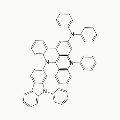 c1ccc(N(c2ccccc2)c2cc(-c3ccccc3N(c3ccccc3)c3ccc4c5ccccc5n(-c5ccccc5)c4c3)cc(N(c3ccccc3)c3ccccc3)c2)cc1